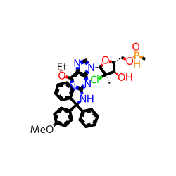 CCOc1nc(NC(c2ccccc2)(c2ccccc2)c2ccc(OC)cc2)nc2c1ncn2[C@@H]1O[C@H](CO[PH](C)=O)[C@@H](O)[C@@]1(C)Cl